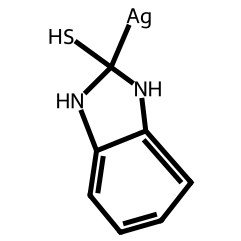 S[C]1([Ag])Nc2ccccc2N1